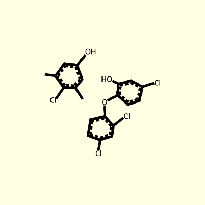 Cc1cc(O)cc(C)c1Cl.Oc1cc(Cl)ccc1Oc1ccc(Cl)cc1Cl